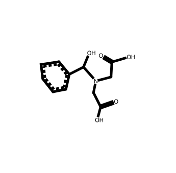 O=C(O)CN(CC(=O)O)C(O)c1ccccc1